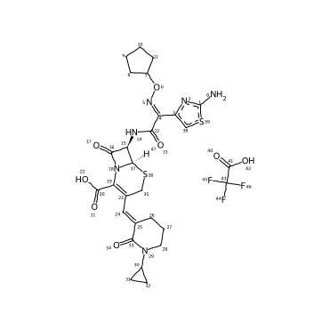 Nc1nc(C(=NOC2CCCC2)C(=O)N[C@@H]2C(=O)N3C(C(=O)O)=C(C=C4CCCN(C5CC5)C4=O)CS[C@H]23)cs1.O=C(O)C(F)(F)F